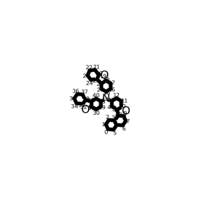 c1ccc2c(c1)ccc1oc3ccc(N(c4ccc5oc6ccccc6c5c4)c4ccc5oc6ccccc6c5c4)cc3c12